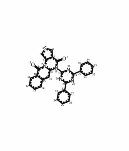 O=c1c2cscc2n2c(=O)c3ccccc3cc2n1-c1nc(-c2ccccc2)nc(-c2ccccc2)n1